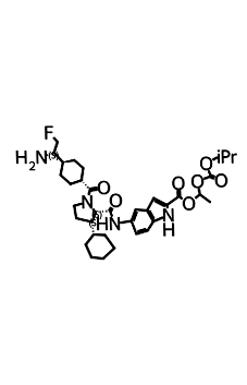 CC(C)OC(=O)OC(C)OC(=O)c1cc2cc(NC(=O)[C@@H]3[C@H](C4CCCCC4)CCN3C(=O)[C@H]3CC[C@H]([C@H](N)CF)CC3)ccc2[nH]1